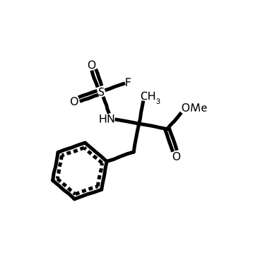 COC(=O)C(C)(Cc1ccccc1)NS(=O)(=O)F